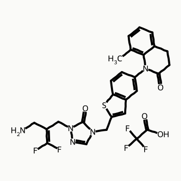 Cc1cccc2c1N(c1ccc3sc(Cn4cnn(CC(CN)=C(F)F)c4=O)cc3c1)C(=O)CC2.O=C(O)C(F)(F)F